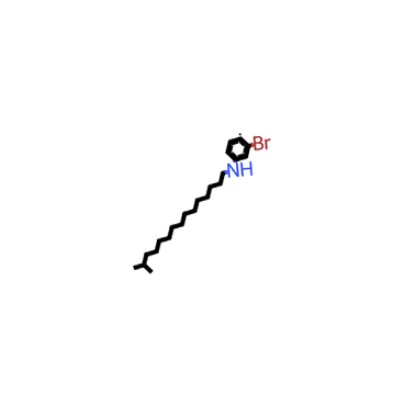 CC(C)CCCCCCCCCCCCCNc1cc[c]c(Br)c1